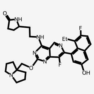 CCc1c(F)ccc2cc(O)cc(-c3ncc4c(NCCC5CCC(=O)N5)nc(OCC56CCCN5CCC6)nc4c3F)c12